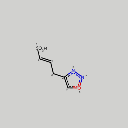 O=S(=O)(O)C=CCc1conn1